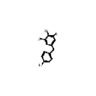 Clc1cc(Cc2ccc(Br)cc2)cc(Cl)c1Cl